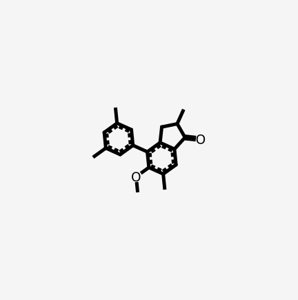 COc1c(C)cc2c(c1-c1cc(C)cc(C)c1)CC(C)C2=O